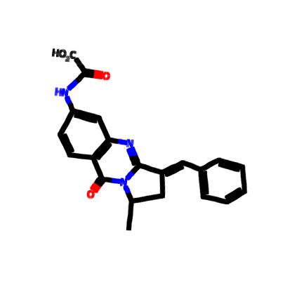 CC1C/C(=C\c2ccccc2)c2nc3cc(NC(=O)C(=O)O)ccc3c(=O)n21